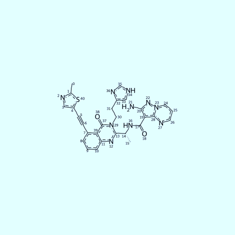 Cc1ncc(C#Cc2cccc3nc([C@@H](C)NC(=O)c4c(N)nn5cccnc45)n(CCc4c[nH]cn4)c(=O)c23)s1